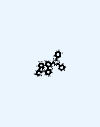 C1=CCCC(c2nc(-c3ccccc3)nc(-c3cccc4c3sc3cccc(-n5c6ccccc6c6cccnc65)c34)n2)=C1